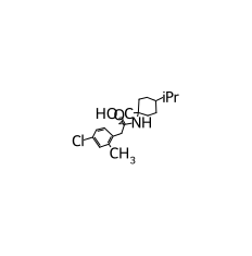 Cc1cc(Cl)ccc1CC(=O)NC1(C(=O)O)CCC(C(C)C)CC1